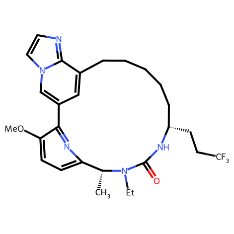 CCN1C(=O)N[C@@H](CCC(F)(F)F)CCCCCc2cc(cn3ccnc23)-c2nc(ccc2OC)[C@H]1C